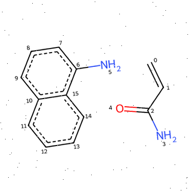 C=CC(N)=O.Nc1cccc2ccccc12